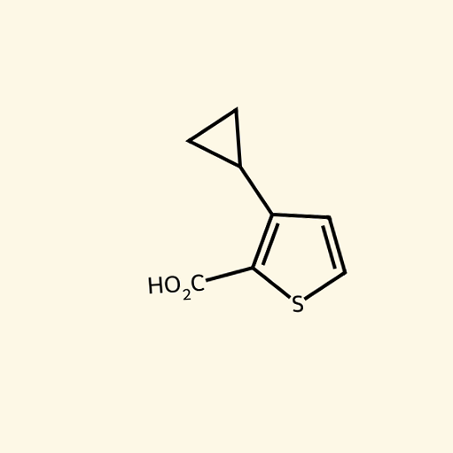 O=C(O)c1sccc1C1CC1